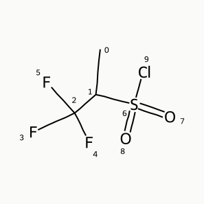 CC(C(F)(F)F)S(=O)(=O)Cl